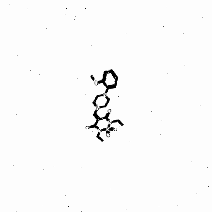 CCN1C(=O)C(=CN2CCN(c3ccccc3OC)CC2)C(=O)N(CC)S1(=O)=O